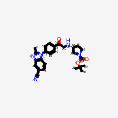 Cc1nc2cc(C#N)ccc2n1-c1ccc(C(=O)CN[C@@H]2CCN(C(=O)OC(C)(C)C)C2)cc1